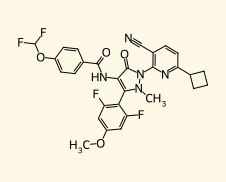 COc1cc(F)c(-c2c(NC(=O)c3ccc(OC(F)F)cc3)c(=O)n(-c3nc(C4CCC4)ccc3C#N)n2C)c(F)c1